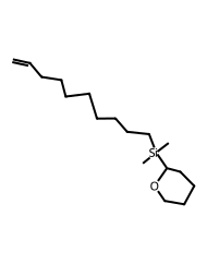 C=CCCCCCCCC[Si](C)(C)C1CCCCO1